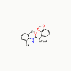 CCCCCC(C(=O)Nc1c(C(C)C)cccc1C(C)C)c1cccc2c1OCO2